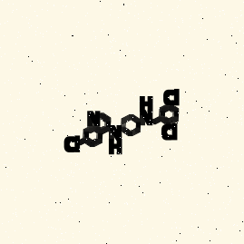 Clc1ccc(Cl)c(CN[C@H]2CC[C@@H](Nc3ccnc4cc(Cl)ccc34)CC2)c1